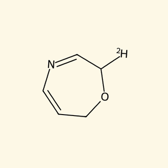 [2H]C1C=NC=CCO1